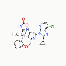 C/C(=C1\c2ccccc2OCc2nc(-n3c(C4CC4)nc4c(Cl)ccnc43)cc(C)c21)c1noc(=O)[nH]1